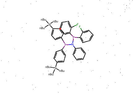 CCCC[Si](CCCC)(CCCC)c1ccc(P(c2ccc([Si](CCCC)(CCCC)CCCC)cc2)N(c2ccccc2)P(c2ccccc2F)c2ccccc2F)cc1